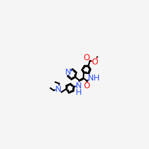 CCN(CC)Cc1ccc(N/C(=C2\C(=O)Nc3cc(C(=O)OC)ccc32)c2ccncc2)cc1